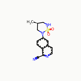 C[C@H]1CNS(=O)(=O)N(c2ccc3c(C#N)nccc3c2)C1